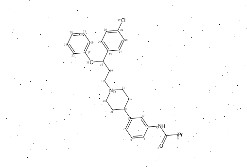 CC(C)C(=O)Nc1cccc(C2CCN(CCC(Oc3ccccc3)c3ccc(Cl)cc3)CC2)c1